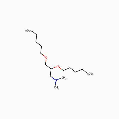 CCCCCCCCCCCCCCOCC(CN(C)C)OCCCCCCCCCCCCCC